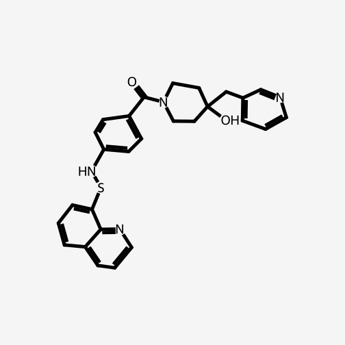 O=C(c1ccc(NSc2cccc3cccnc23)cc1)N1CCC(O)(Cc2cccnc2)CC1